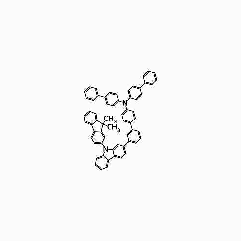 CC1(C)c2ccccc2-c2ccc(-n3c4ccccc4c4ccc(-c5cccc(-c6ccc(N(c7ccc(-c8ccccc8)cc7)c7ccc(-c8ccccc8)cc7)cc6)c5)cc43)cc21